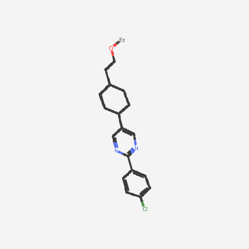 CCOCCC1CCC(c2cnc(-c3ccc(Cl)cc3)nc2)CC1